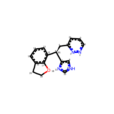 c1cnnc(C[C@@H](c2c[nH]cn2)c2cccc3c2OCC3)c1